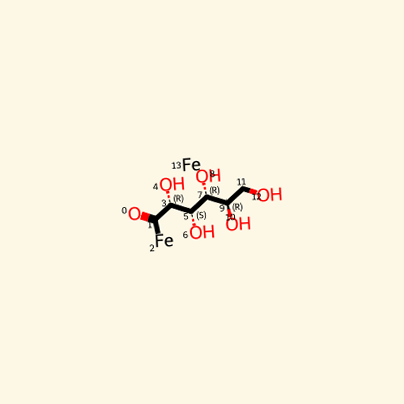 O=[C]([Fe])[C@H](O)[C@@H](O)[C@H](O)[C@H](O)CO.[Fe]